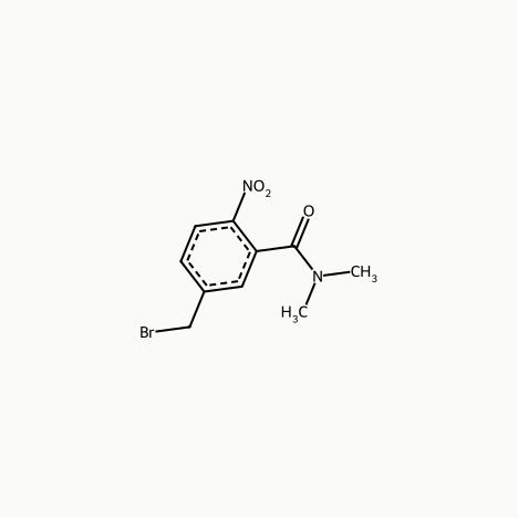 CN(C)C(=O)c1cc(CBr)ccc1[N+](=O)[O-]